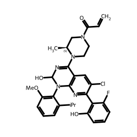 C=CC(=O)N1CCN(C2=NC(O)N(c3c(OC)cccc3C(C)C)c3nc(-c4c(O)cccc4F)c(Cl)cc32)[C@@H](C)C1